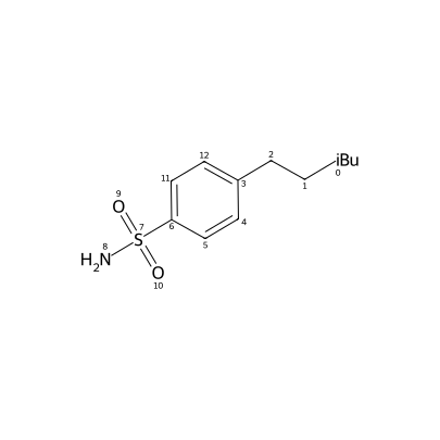 CCC(C)CCc1ccc(S(N)(=O)=O)cc1